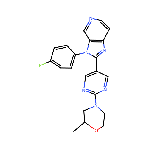 CC1CN(c2ncc(-c3nc4ccncc4n3-c3ccc(F)cc3)cn2)CCO1